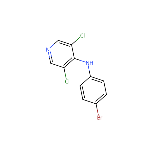 Clc1cncc(Cl)c1Nc1ccc(Br)cc1